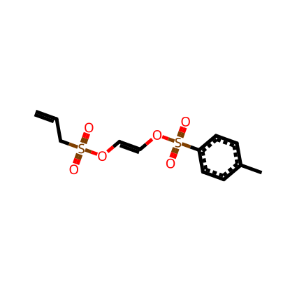 C=CCS(=O)(=O)OC=COS(=O)(=O)c1ccc(C)cc1